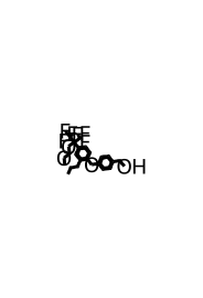 CCCc1cc(C(OCOC)(C(F)(F)F)C(F)(F)F)ccc1Oc1ccc(CO)cc1